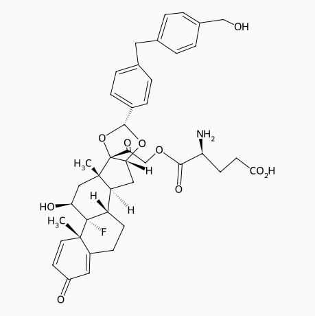 C[C@]12C=CC(=O)C=C1CC[C@H]1[C@@H]3C[C@H]4O[C@@H](c5ccc(Cc6ccc(CO)cc6)cc5)O[C@@]4(C(=O)COC(=O)[C@@H](N)CCC(=O)O)[C@@]3(C)C[C@H](O)[C@@]12F